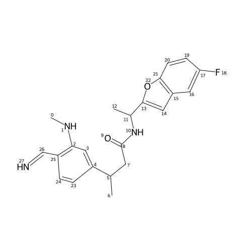 CNc1cc(C(C)CC(=O)NC(C)c2cc3cc(F)ccc3o2)ccc1C=N